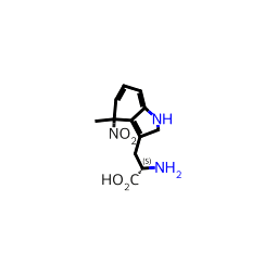 CC1([N+](=O)[O-])C=CC=C2NCC(C[C@H](N)C(=O)O)=C21